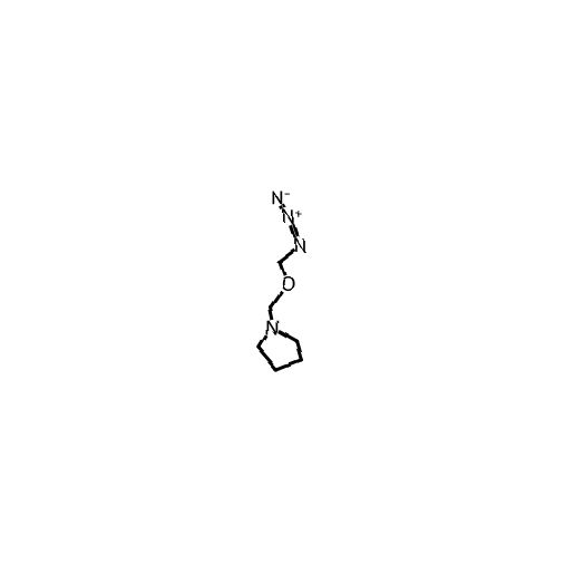 [N-]=[N+]=NCOCN1CCCC1